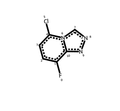 Fc1ccc(Cl)n2cnnc12